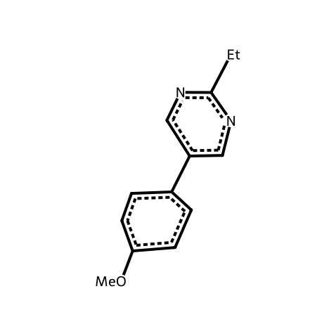 CCc1ncc(-c2ccc(OC)cc2)cn1